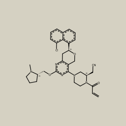 C=CC(=O)N1CCN(c2nc(OC[C@@H]3CCCN3C)nc3c2CO[C@H](c2cccc4cccc(Cl)c24)C3)C[C@H]1CC#N